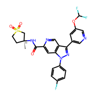 C[C@]1(NC(=O)c2cc3c(cn2)c(-c2cncc(OC(F)F)c2)nn3-c2ccc(F)cc2)CCS(=O)(=O)C1